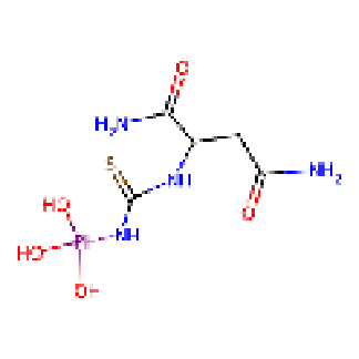 NC(=O)CC(NC(=S)N[PH](O)(O)O)C(N)=O